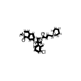 Cc1c(Cl)cccc1C1(Nc2ccc3ccn(C)c(=O)c3c2)CN(C(=O)/C=C/CN2CCCCC2)C1